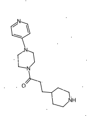 O=C([CH]CC1CCNCC1)N1CCN(c2ccncc2)CC1